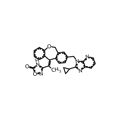 C/C(=C1\c2ccc(Cn3c(C4CC4)nc4cccnc43)cc2COc2ccccc21)c1noc(=O)[nH]1